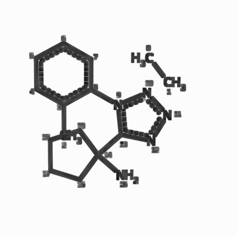 CC.Cc1ccccc1-n1nnnc1C1(N)CCCC1